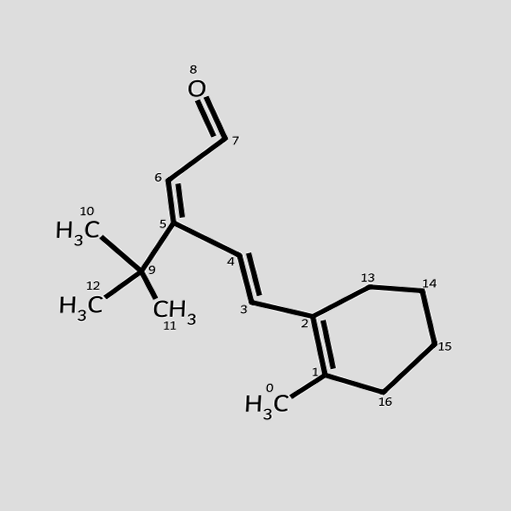 CC1=C(/C=C/C(=C\C=O)C(C)(C)C)CCCC1